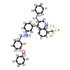 FC(F)(F)c1cccc2c(-c3cccc(NCc4cccc(Oc5ccccc5)c4)c3)c(Cc3ccccc3)cnc12